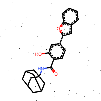 O=C(NC12CC3CC(CC(C3)C1)C2)c1ccc(-c2cc3ccccc3o2)cc1O